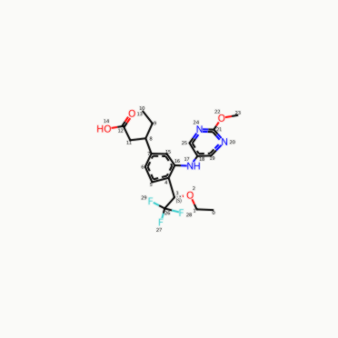 CCO[C@@H](c1ccc(C(CC)CC(=O)O)cc1Nc1cnc(OC)nc1)C(F)(F)F